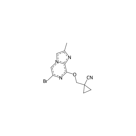 Cc1cn2cc(Br)nc(OCC3(C#N)CC3)c2n1